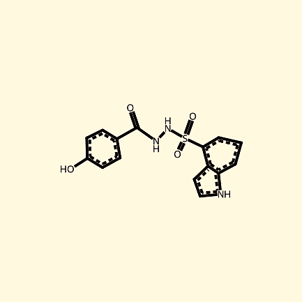 O=C(NNS(=O)(=O)c1cccc2[nH]ccc12)c1ccc(O)cc1